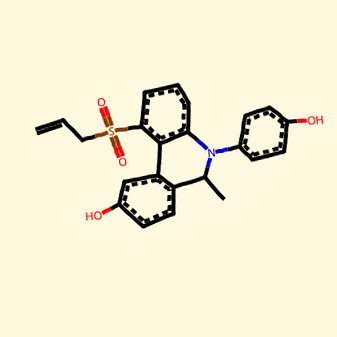 C=CCS(=O)(=O)c1cccc2c1-c1cc(O)ccc1C(C)N2c1ccc(O)cc1